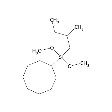 CCC(C)C[Si](OC)(OC)C1CCCCCCC1